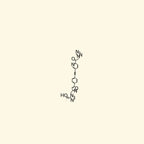 C[C@H](O)c1nccn1Cc1cc(-c2ccc(C#Cc3ccc(C(=O)Cn4cncn4)nc3)cc2)on1